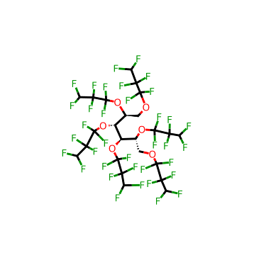 FC(F)C(F)(F)C(F)(F)OC[C@H](OC(F)(F)C(F)(F)C(F)F)[C@@H](OC(F)(F)C(F)(F)C(F)F)[C@H](OC(F)(F)C(F)(F)C(F)F)[C@@H](COC(F)(F)C(F)(F)C(F)F)OC(F)(F)C(F)(F)C(F)F